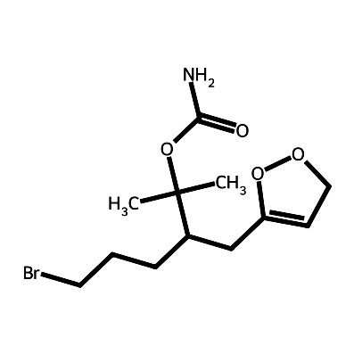 CC(C)(OC(N)=O)C(CCCBr)CC1=CCOO1